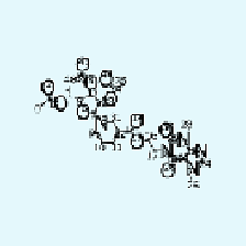 CC(=O)OC[C@H]1O[C@@H](N2C=CC=C(C(=O)OCCn3c(=O)c4c(ncn4C)n(C)c3=O)C2)[C@H](OC(C)=O)[C@@H]1OC(C)=O